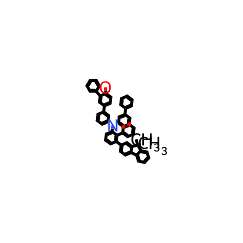 CC1(C)c2ccccc2-c2ccc(-c3cccc(N(c4cccc(-c5ccccc5)c4)c4cccc(-c5ccc6oc7ccccc7c6c5)c4)c3-c3ccccc3)cc21